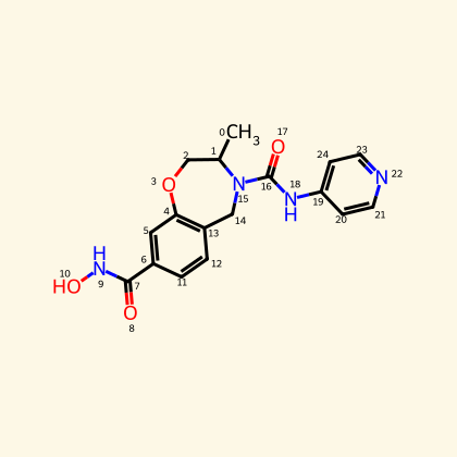 CC1COc2cc(C(=O)NO)ccc2CN1C(=O)Nc1ccncc1